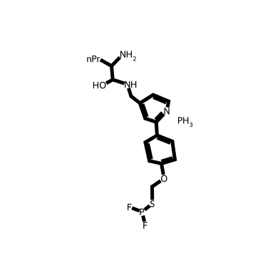 CCCC(N)C(O)NCc1ccnc(-c2ccc(OCSP(F)F)cc2)c1.P